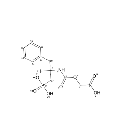 O=C(O)COC(=O)NC(I)(Cc1ccccc1)CP(=O)(O)O